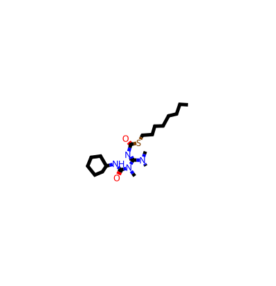 CCCCCCCCSC(=O)N=C(N(C)C)N(C)C(=O)NC1CCCCC1